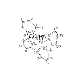 CC1C=CC=NC1(C=O)NC(c1ccccc1)(c1ccccc1)c1ccccc1